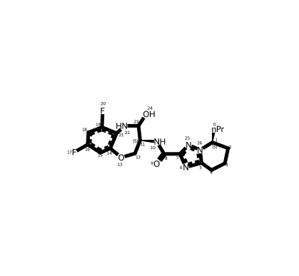 CCC[C@H]1CCCc2nc(C(=O)N[C@H]3COc4cc(F)cc(F)c4NC3O)nn21